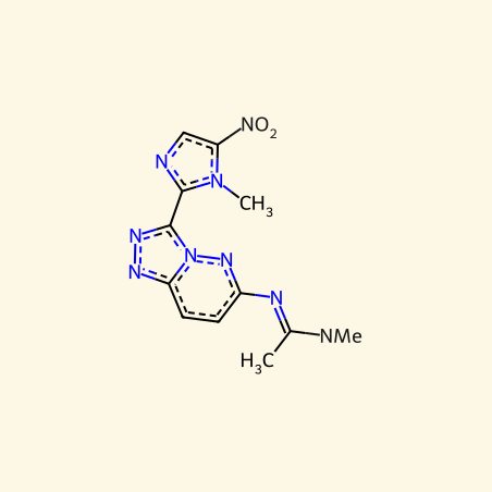 CNC(C)=Nc1ccc2nnc(-c3ncc([N+](=O)[O-])n3C)n2n1